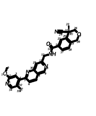 COc1cc(-c2ccc3cnc(CNC(=O)c4ccc5c(c4)[C@](C)(C#N)COC5)cc3n2)c(F)cn1